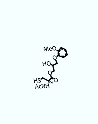 COc1ccccc1OCC(O)COC(=O)[C@@H](CS)NC(C)=O